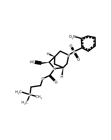 C#C[C@H]1[C@H]2C[C@H](CN(S(=O)(=O)c3ccccc3[N+](=O)[O-])C2)N1C(=O)OCC[Si](C)(C)C